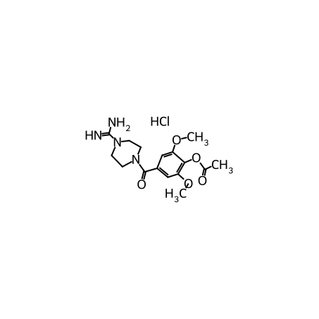 COc1cc(C(=O)N2CCN(C(=N)N)CC2)cc(OC)c1OC(C)=O.Cl